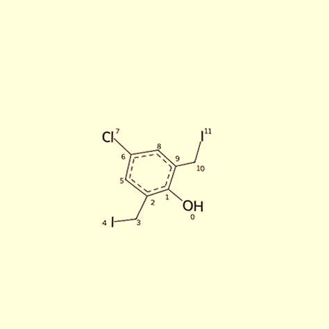 Oc1c(CI)cc(Cl)cc1CI